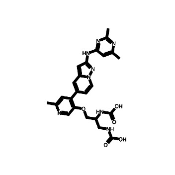 Cc1cc(-c2ccn3nc(Nc4cc(C)nc(C)n4)cc3c2)c(OCC(CNC(=O)O)NC(=O)O)cn1